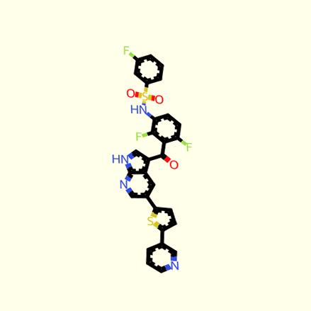 O=C(c1c(F)ccc(NS(=O)(=O)c2cccc(F)c2)c1F)c1c[nH]c2ncc(-c3ccc(-c4cccnc4)s3)cc12